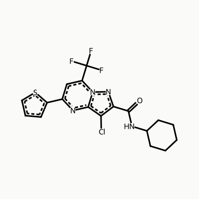 O=C(NC1CCCCC1)c1nn2c(C(F)(F)F)cc(-c3cccs3)nc2c1Cl